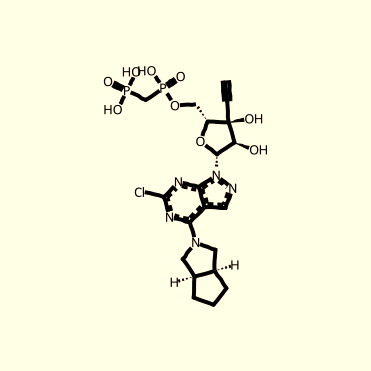 C#C[C@@]1(O)[C@@H](COP(=O)(O)CP(=O)(O)O)O[C@@H](n2ncc3c(N4C[C@H]5CCC[C@H]5C4)nc(Cl)nc32)[C@@H]1O